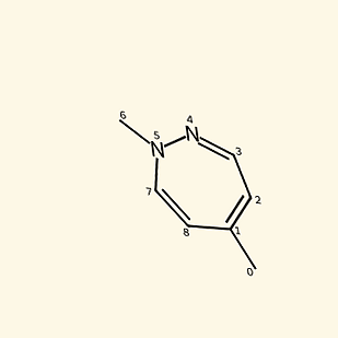 CC1=CC=NN(C)C=C1